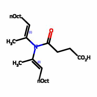 CCCCCCCC/C=C(\C)N(C(=O)CCC(=O)O)/C(C)=C/CCCCCCCC